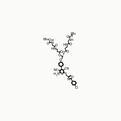 CC(C)(C)OC(=O)NCC(=O)NCCC(=O)OC[C@H](COc1ccc(-c2c(C#N)c(N)nc(SCc3coc(-c4ccc(Cl)cc4)n3)c2C#N)cc1)OC(=O)CCNC(=O)CNC(=O)OC(C)(C)C